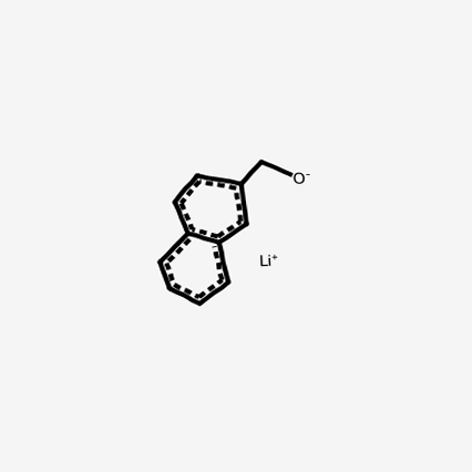 [Li+].[O-]Cc1ccc2ccccc2c1